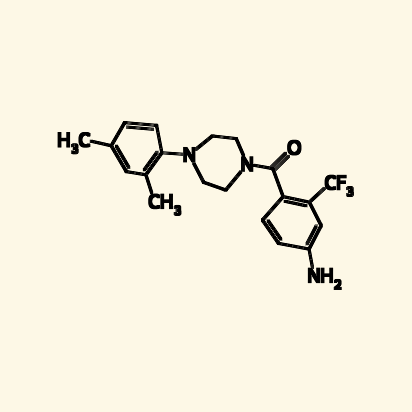 Cc1ccc(N2CCN(C(=O)c3ccc(N)cc3C(F)(F)F)CC2)c(C)c1